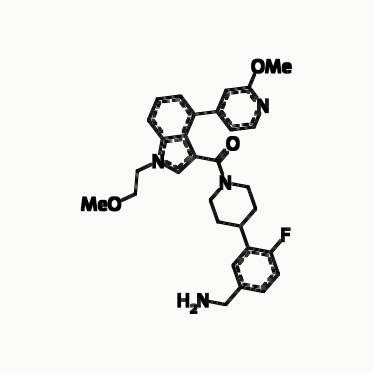 COCCn1cc(C(=O)N2CCC(c3cc(CN)ccc3F)CC2)c2c(-c3ccnc(OC)c3)cccc21